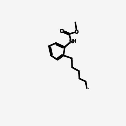 [CH2]CCCCCc1ccccc1NC(=O)OC